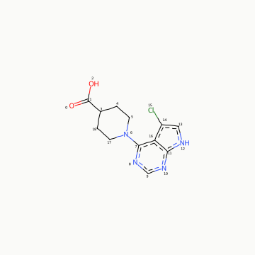 O=C(O)C1CCN(c2ncnc3[nH]cc(Cl)c23)CC1